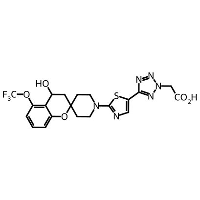 O=C(O)Cn1nnc(-c2cnc(N3CCC4(CC3)CC(O)c3c(OC(F)(F)F)cccc3O4)s2)n1